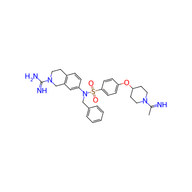 CC(=N)N1CCC(Oc2ccc(S(=O)(=O)N(Cc3ccccc3)c3ccc4c(c3)CN(C(=N)N)CC4)cc2)CC1